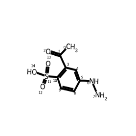 CC(=O)c1cc(NN)ccc1S(=O)(=O)O